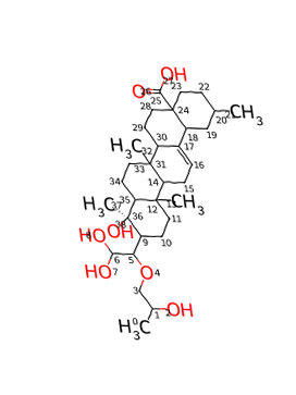 CC(O)COC(C(O)O)C1CCC2(C)C3CC=C4C5CC(C)CCC5(C(=O)O)CCC4C3(C)CCC2[C@]1(C)O